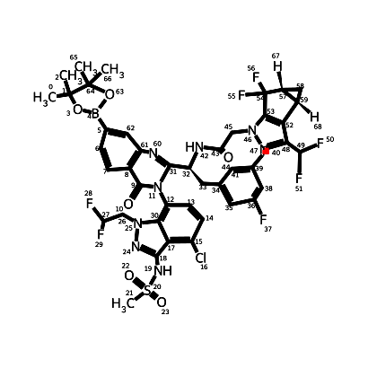 CC1(C)OB(c2ccc3c(=O)n(-c4ccc(Cl)c5c(NS(C)(=O)=O)nn(CC(F)F)c45)c([C@H](Cc4cc(F)cc(F)c4)NC(=O)Cn4nc(C(F)F)c5c4C(F)(F)[C@@H]4C[C@H]54)nc3c2)OC1(C)C